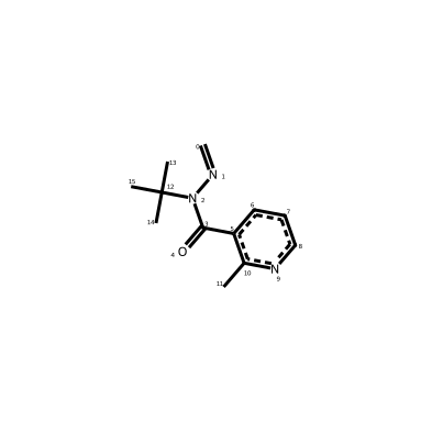 C=NN(C(=O)c1cccnc1C)C(C)(C)C